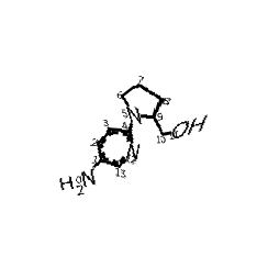 Nc1ccc(N2CCCC2CO)nc1